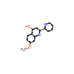 COc1ccc2c(O)cc(-c3ccccn3)nc2c1